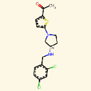 CC(=O)c1ccc(N2CC[C@H](NCc3ccc(Cl)cc3Cl)C2)s1